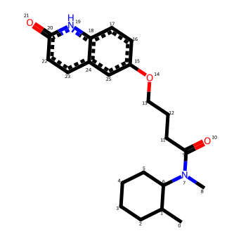 CC1CCCCC1N(C)C(=O)CCCOc1ccc2[nH]c(=O)ccc2c1